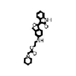 O=C(CN1CCCCC1)OCCNc1ccc2c(c1)CO/C2=C1/C(=O)Nc2ccccc21